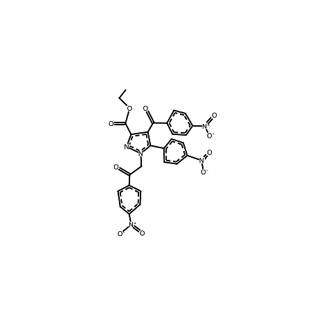 CCOC(=O)c1nn(CC(=O)c2ccc([N+](=O)[O-])cc2)c(-c2ccc([N+](=O)[O-])cc2)c1C(=O)c1ccc([N+](=O)[O-])cc1